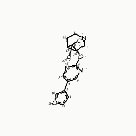 c1cc(-c2cnc(O[C@H]3CN4CCC3CC4)nc2)co1